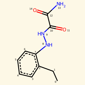 CCc1ccccc1NNC(=O)C(N)=O